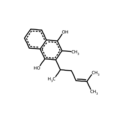 CC(C)=CCC(C)c1c(C)c(O)c2ccccc2c1O